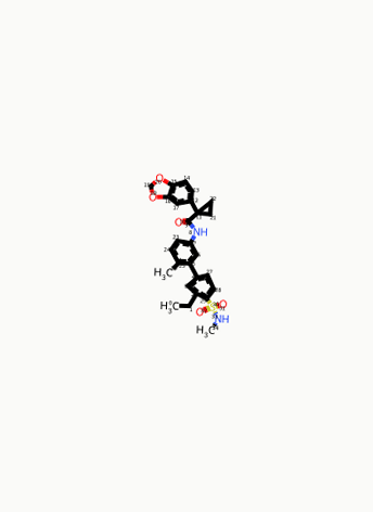 CCc1cc(-c2cc(NC(=O)C3(c4ccc5c(c4)OCO5)CC3)ccc2C)ccc1S(=O)(=O)NC